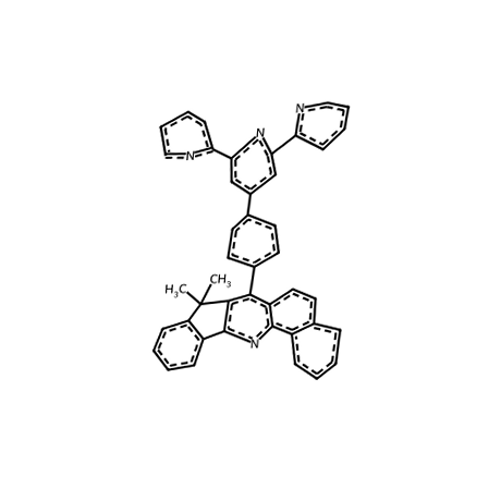 CC1(C)c2ccccc2-c2nc3c(ccc4ccccc43)c(-c3ccc(-c4cc(-c5ccccn5)nc(-c5ccccn5)c4)cc3)c21